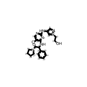 O=C(C(Nc1nc(Nc2cnn(CCO)c2)ncc1Cl)c1ccccc1)N1CCCC1